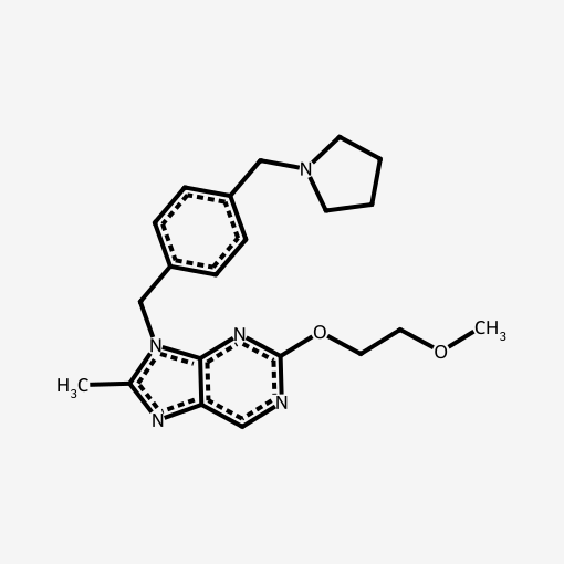 COCCOc1ncc2nc(C)n(Cc3ccc(CN4CCCC4)cc3)c2n1